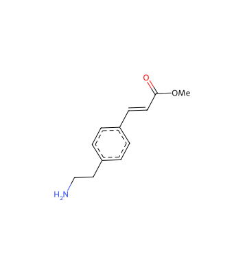 COC(=O)/C=C/c1ccc(CCN)cc1